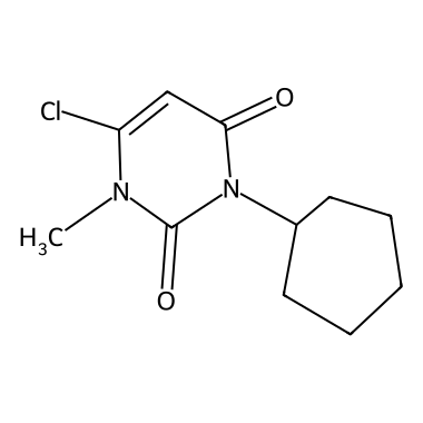 Cn1c(Cl)cc(=O)n(C2CCCCC2)c1=O